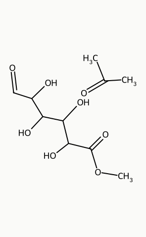 CC(C)=O.COC(=O)C(O)C(O)C(O)C(O)C=O